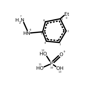 CCc1cccc(NN)c1.O=P(O)(O)O